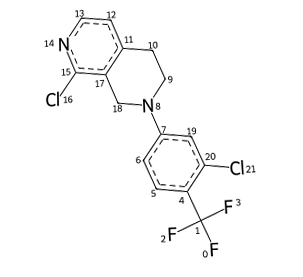 FC(F)(F)c1ccc(N2CCc3ccnc(Cl)c3C2)cc1Cl